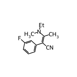 CCN(C)C(C)=C(C#N)c1cccc(F)c1